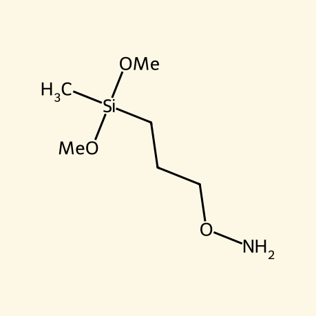 CO[Si](C)(CCCON)OC